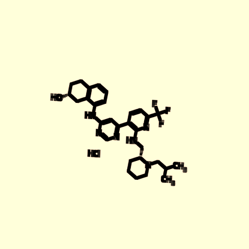 CC(C)CN1CCCC[C@@H]1CNc1nc(C(F)(F)F)ccc1-c1cc(Nc2cccc3c2C[C@H](O)CC3)ncn1.Cl